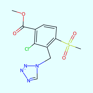 COC(=O)c1ccc(S(C)(=O)=O)c(Cn2cnnn2)c1Cl